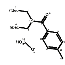 CCCCCCCCCCC[S+](CCCCCCCCCCC)C(=O)c1ccc(C)cc1.O=S(=O)([O-])O